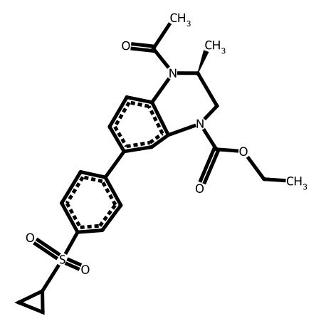 CCOC(=O)N1C[C@H](C)N(C(C)=O)c2ccc(-c3ccc(S(=O)(=O)C4CC4)cc3)cc21